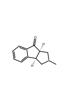 CN1C[C@@H]2C(=O)c3ccccc3[C@@H]2C1